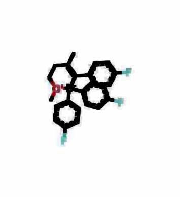 CC1=C(c2ccc(F)cc2)[B-](c2ccc(F)cc2)(c2ccc(F)cc2)[O+](C)CC1